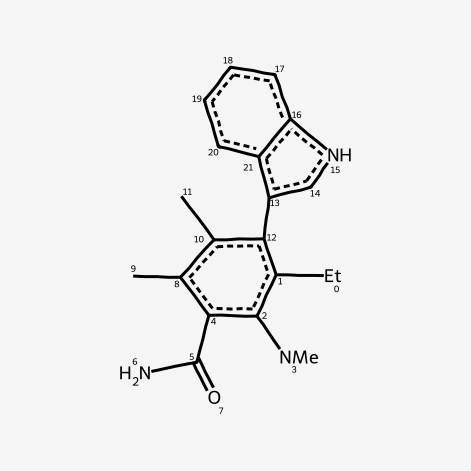 CCc1c(NC)c(C(N)=O)c(C)c(C)c1-c1c[nH]c2ccccc12